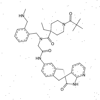 CCC1(C(=O)N(CC(=O)Nc2ccc3c(c2)C[C@@]2(C3)C(=O)Nc3ncccc32)Cc2ccccc2CNC)CCN(C(=O)C(C)(C)C)CC1